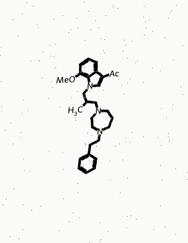 COc1cccc2c(C(C)=O)cn(CC(C)CN3CCCN(CCc4ccccc4)CC3)c12